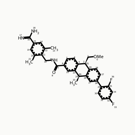 COC[C@@H]1c2ccc(C(=O)NCc3c(C)cc(C(=N)N)cc3C)cc2[C@H](C)c2cc(-c3ccc(F)cc3F)ccc21